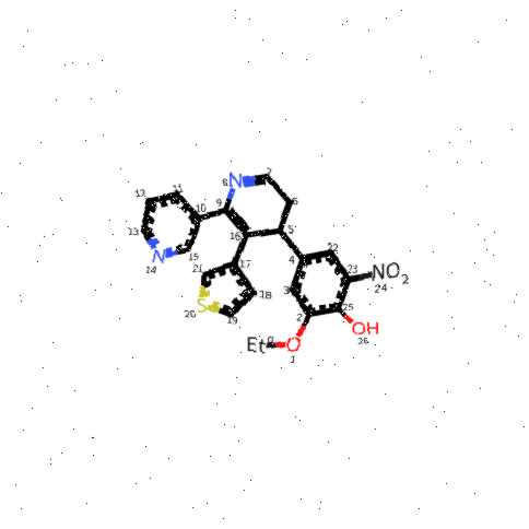 CCOc1cc(C2CC=NC(c3cccnc3)=C2c2ccsc2)cc([N+](=O)[O-])c1O